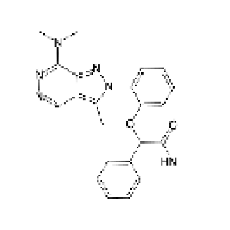 CNC(=O)C(Oc1ccccc1-n1nc2c(N(C)C)nnc(C)c2c1C)c1ccccc1